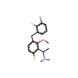 [CH2]C(c1c(F)ccc(Cc2cccc(Cl)c2F)c1OC)N(C)C